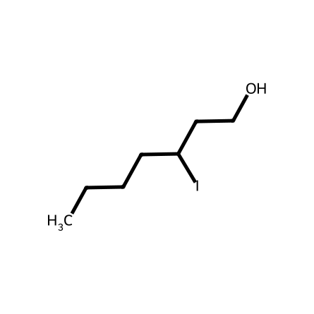 CCCCC(I)CCO